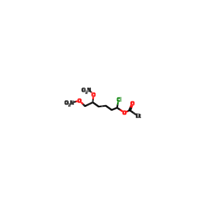 CCC(=O)OC(Cl)CCCC(CO[N+](=O)[O-])O[N+](=O)[O-]